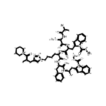 CCCCCC(NC(=O)C(C)C(C)C)C(=O)NC(Cc1cc2ccccc2n1C(=O)OC(C)(C)C)C(=O)NC(CCCCn1cc(CC(C)C(=O)N2CCCCC2)nn1)C(=O)NC(Cc1ccccc1)C(=O)NC(Cc1cc2ccccc2n1C(=O)OC(C)(C)C)C(C)=O